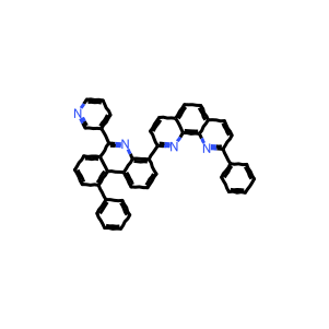 c1ccc(-c2ccc3ccc4ccc(-c5cccc6c5nc(-c5cccnc5)c5cccc(-c7ccccc7)c56)nc4c3n2)cc1